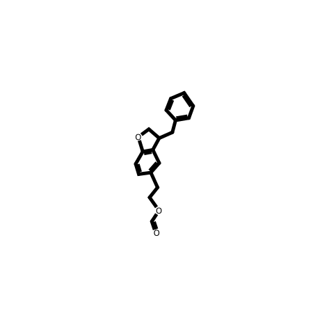 O=COCCc1ccc2c(c1)C(Cc1ccccc1)CO2